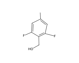 Cc1cc(F)c(CO)c(F)c1